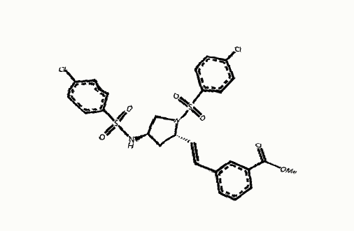 COC(=O)c1cccc(C=C[C@@H]2C[C@@H](NS(=O)(=O)c3ccc(Cl)cc3)CN2S(=O)(=O)c2ccc(Cl)cc2)c1